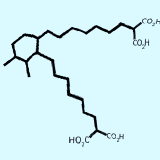 CC1CCC(CCCCCCCC(C(=O)O)C(=O)O)C(CCCCCCCC(C(=O)O)C(=O)O)C1C